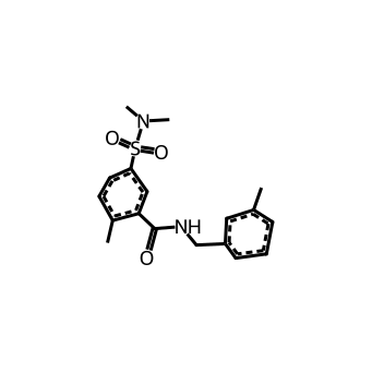 Cc1cccc(CNC(=O)c2cc(S(=O)(=O)N(C)C)ccc2C)c1